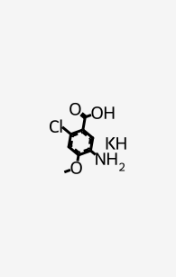 COc1cc(Cl)c(C(=O)O)cc1N.[KH]